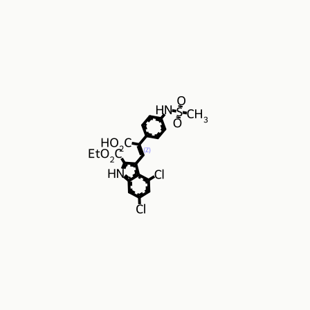 CCOC(=O)c1[nH]c2cc(Cl)cc(Cl)c2c1/C=C(\C(=O)O)c1ccc(NS(C)(=O)=O)cc1